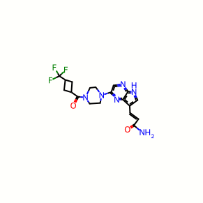 NC(=O)C=Cc1c[nH]c2ncc(N3CCN(C(=O)C4CC(C(F)(F)F)C4)CC3)nc12